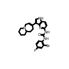 O=C(Nc1ccc2[nH]cc(C3=CCN4CCCCC4CC3)c2n1)Nc1ccc(F)cc1Br